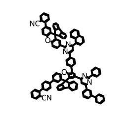 N#Cc1ccccc1-c1ccc(-c2ccc3c(c2)C2(c4ccccc4-c4ccccc42)c2cc(-c4cc(-c5cccc(-c6ccccc6)c5)nc(-c5ccccc5)n4)cc(-c4ccc(-c5cc(-c6cccc7ccccc67)nc(-c6ccc7c(c6)C6(c8cc(-c9ccccc9C#N)ccc8O7)c7ccccc7-c7ccccc76)n5)cc4)c2O3)cc1